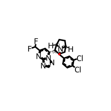 FC(F)c1cc([C@H]2CC[C@H]3CC[C@@H]2N3Cc2ccc(Cl)c(Cl)c2)n2ncnc2n1